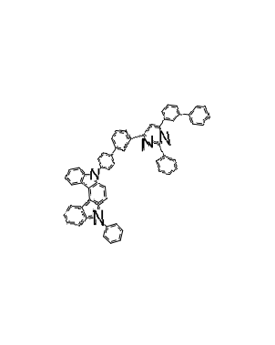 c1ccc(-c2cccc(-c3cc(-c4cccc(-c5ccc(-n6c7ccccc7c7c8c9ccccc9n(-c9ccccc9)c8ccc76)cc5)c4)nc(-c4ccccc4)n3)c2)cc1